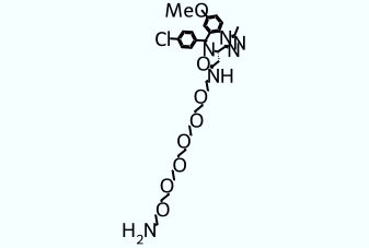 COc1ccc2c(c1)C(c1ccc(Cl)cc1)=N[C@@H](CC(=O)NCCOCCOCCOCCOCCOCCOCCN)c1nnc(C)n1-2